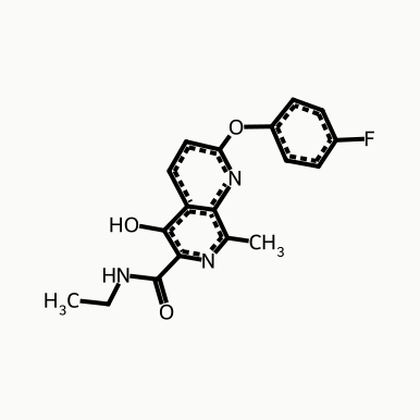 CCNC(=O)c1nc(C)c2nc(Oc3ccc(F)cc3)ccc2c1O